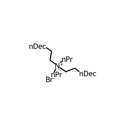 CCCCCCCCCCCC[N+](CCC)(CCC)CCCCCCCCCCCC.[Br-]